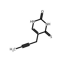 CC#CCc1c[nH]c(=O)[nH]c1=S